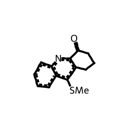 CSc1c2c(nc3ccccc13)C(=O)CCC2